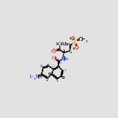 COC(=O)C(CCS(C)(=O)=O)NC(=O)c1cccc2cc(N)ccc12